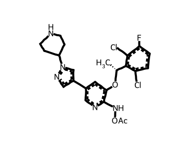 CC(=O)ONc1ncc(-c2cnn(C3CCNCC3)c2)cc1O[C@H](C)c1c(Cl)ccc(F)c1Cl